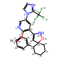 COc1ncc(-n2ccnc2C(F)(F)F)cc1C1=C[C@]2(CCCC[C@H]2c2ccccc2)ON1